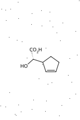 O=C(O)[C@@H](O)C1C=CCC1